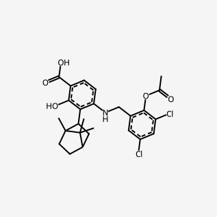 CC(=O)Oc1c(Cl)cc(Cl)cc1CNc1ccc(C(=O)O)c(O)c1C1CC2CCC1(C)C2(C)C